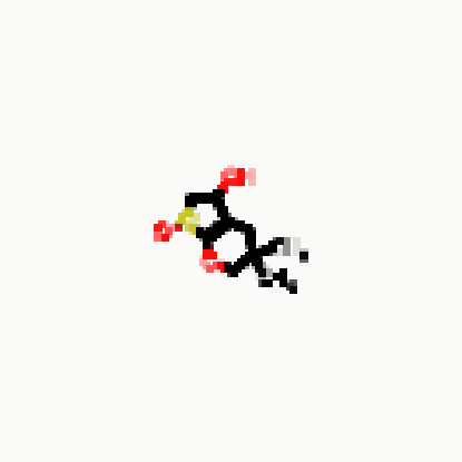 CC1(C)COC2=C(C1)C(O)C[S+]2[O-]